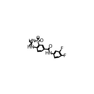 CC1(C)Nc2ccc(C(=O)Nc3ccc(F)c(F)c3)cc2S(=O)(=O)N1